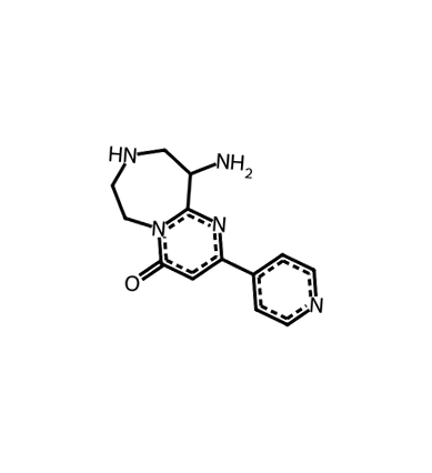 NC1CNCCn2c1nc(-c1ccncc1)cc2=O